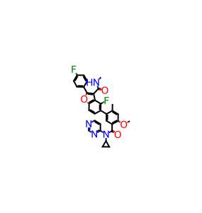 CNC(=O)c1c(-c2ccc(F)cc2)oc2ccc(-c3cc(C(=O)N(c4ccncn4)C4CC4)c(OC)cc3C)c(F)c12